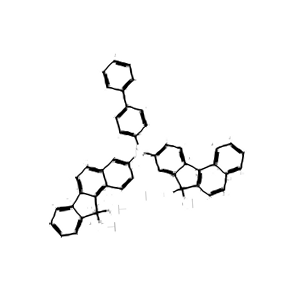 CC1(C)c2cc(N(c3ccc(-c4ccccc4)cc3)c3ccc4c5c(ccc4c3)-c3ccccc3C5(C)C)ccc2-c2c1ccc1ccccc21